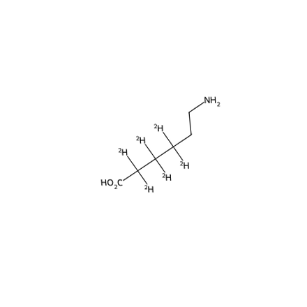 [2H]C([2H])(CCN)C([2H])([2H])C([2H])([2H])C(=O)O